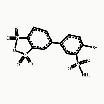 NS(=O)(=O)c1cc(-c2ccc3c(c2)S(=O)(=O)OS3(=O)=O)ccc1S